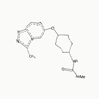 CNC(=O)NC1CCC(Oc2ccc3nnc(C)n3c2)CC1